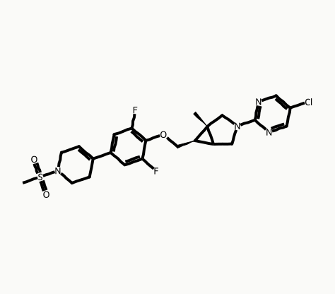 C[C@@]12CN(c3ncc(Cl)cn3)CC1[C@H]2COc1c(F)cc(C2=CCN(S(C)(=O)=O)CC2)cc1F